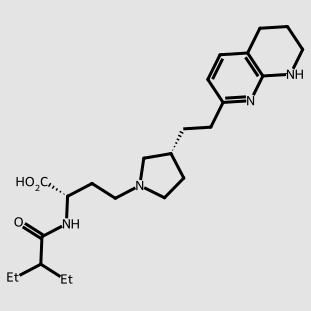 CCC(CC)C(=O)N[C@@H](CCN1CC[C@@H](CCc2ccc3c(n2)NCCC3)C1)C(=O)O